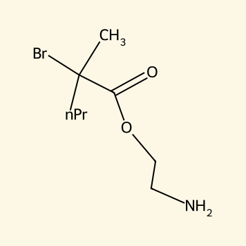 CCCC(C)(Br)C(=O)OCCN